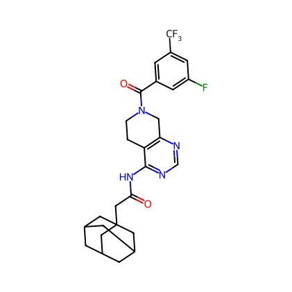 O=C(CC12CC3CC(CC(C3)C1)C2)Nc1ncnc2c1CCN(C(=O)c1cc(F)cc(C(F)(F)F)c1)C2